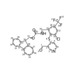 O=Cc1cnccc1Sc1c(Cl)cc(C(F)(F)F)cc1CNC(=O)OCC1c2ccccc2-c2ccccc21